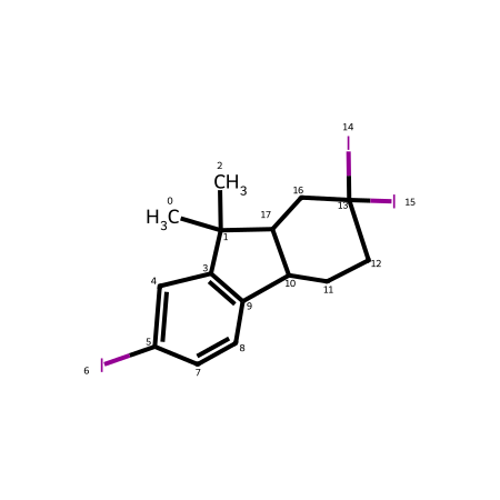 CC1(C)c2cc(I)ccc2C2CCC(I)(I)CC21